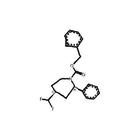 O=C(OCc1ccccc1)N1CC[C@H](C(F)F)C[C@@H]1c1ccccc1